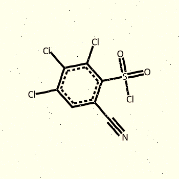 N#Cc1cc(Cl)c(Cl)c(Cl)c1S(=O)(=O)Cl